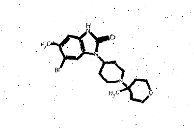 CC1(N2CCC(n3c(=O)[nH]c4cc(C(F)(F)F)c(Br)cc43)CC2)CCOCC1